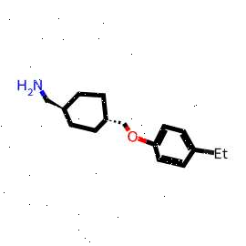 CCc1ccc(OC[C@H]2CC[C@H](CN)CC2)cc1